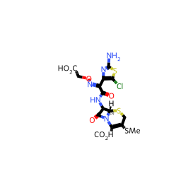 CSC1=C(C(=O)O)N2C(=O)C(NC(=O)C(=NOCC(=O)O)c3nc(N)sc3Cl)[C@@H]2SC1